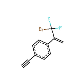 C#Cc1ccc(C(=C)C(F)(F)Br)cc1